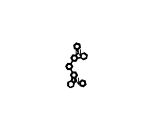 C1=CC2c3cc(-c4cccc(-c5ccc6c(c5)c5c(n6-c6ccccc6)CCC=C5)c4)ccc3N(c3ccccc3)C2C=C1